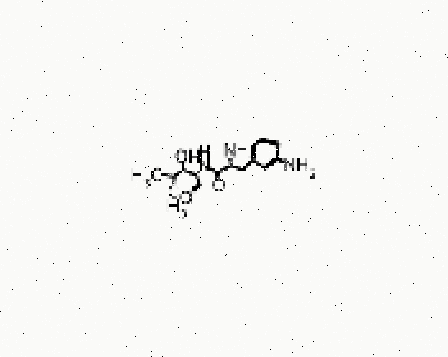 CC(C)C(O)[C@@H]([C]=O)NC(=O)[C@@H](N)Cc1cccc(N)c1